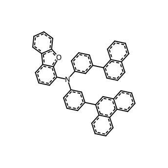 c1cc(-c2cccc3ccccc23)cc(N(c2cccc(-c3cc4ccccc4c4ccccc34)c2)c2cccc3c2oc2ccccc23)c1